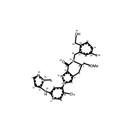 COC[C@H]1Cc2cn(-c3cc(Nc4ccnn4C)ncc3Cl)nc2C(=O)N1Cc1cc(F)ccc1CO